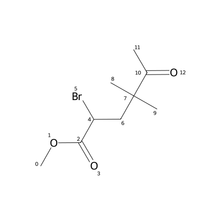 COC(=O)C(Br)CC(C)(C)C(C)=O